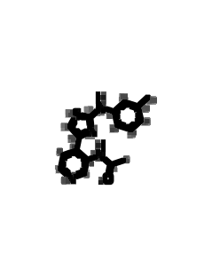 CC(=O)Nc1cnccc1-c1csc(Nc2cccc(C)c2)n1